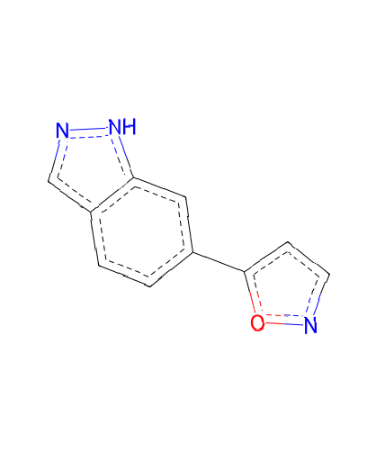 c1cc(-c2ccc3cn[nH]c3c2)on1